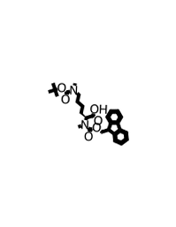 CN(CCCC[C@@H](C(=O)O)N(C)C(=O)OCC1c2ccccc2-c2ccccc21)C(=O)OC(C)(C)C